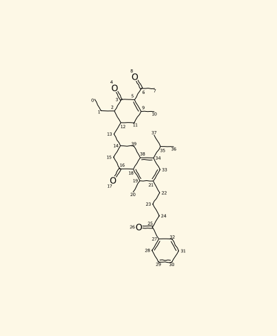 CCC1C(=O)C(C(C)=O)=C(C)CC1CC1CC(=O)c2c(C)c(CCCC(=O)c3ccccc3)cc(C(C)C)c2C1